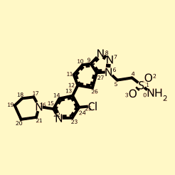 NS(=O)(=O)CCn1nnc2ccc(-c3cc(N4CCCCC4)ncc3Cl)cc21